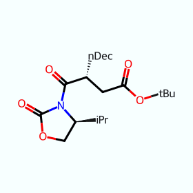 CCCCCCCCCC[C@H](CC(=O)OC(C)(C)C)C(=O)N1C(=O)OC[C@@H]1C(C)C